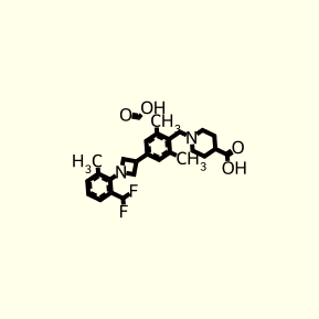 Cc1cc(C2CN(c3c(C)cccc3C(F)F)C2)cc(C)c1CN1CCC(C(=O)O)CC1.O=CO